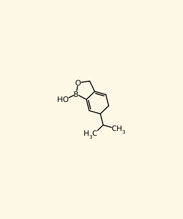 CC(C)C1C=C2B(O)OCC2=CC1